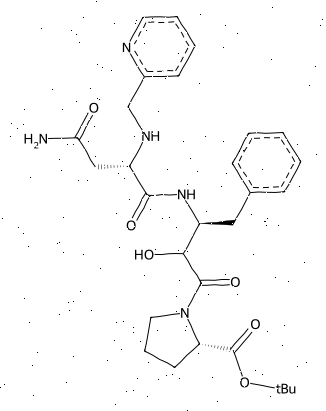 CC(C)(C)OC(=O)[C@@H]1CCCN1C(=O)C(O)[C@H](Cc1ccccc1)NC(=O)[C@H](CC(N)=O)NCc1ccccn1